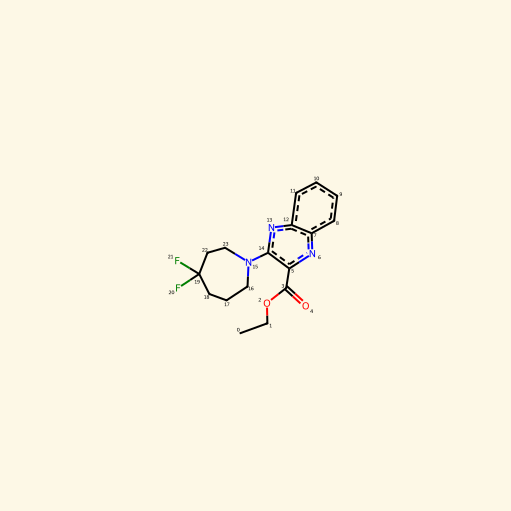 CCOC(=O)c1nc2ccccc2nc1N1CCCC(F)(F)CC1